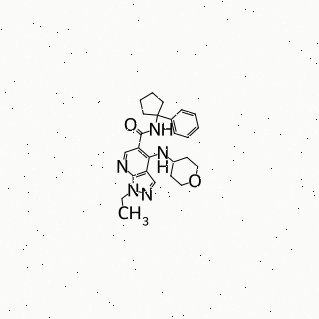 CCn1ncc2c(NC3CCOCC3)c(C(=O)NC3(c4ccccc4)CCCC3)cnc21